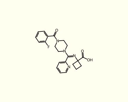 O=C(c1ccccc1F)N1CCN(/C(=N/C2(C(=O)O)CCC2)c2ccccn2)CC1